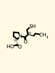 CCC[C@H](CS)C(=O)N1CCC[C@H]1C(=O)O